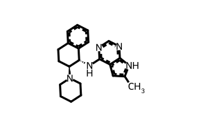 Cc1cc2c(N[C@H]3c4ccccc4CC[C@@H]3N3CCCCC3)ncnc2[nH]1